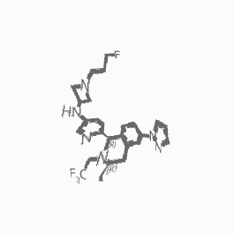 C[C@@H]1Cc2cc(-n3cccn3)ccc2[C@H](c2ccc(NC3CN(CCCF)C3)cn2)N1CC(F)(F)F